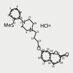 CSc1ccccc1N1CCN(CCCOc2ccc3ccc(=O)oc3c2)CC1.Cl